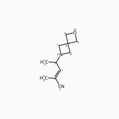 CC(C#N)=CC(C)N1CC2(COC2)C1